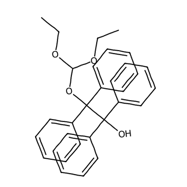 CCOC(OCC)OC(c1ccccc1)(c1ccccc1)C(O)(c1ccccc1)c1ccccc1